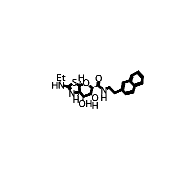 CCNC1=N[C@@H]2[C@@H](O)[C@H](O)[C@@H](C(=O)NCCc3ccc4ccccc4c3)O[C@@H]2S1